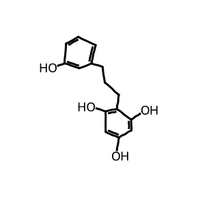 Oc1cccc(CCCc2c(O)cc(O)cc2O)c1